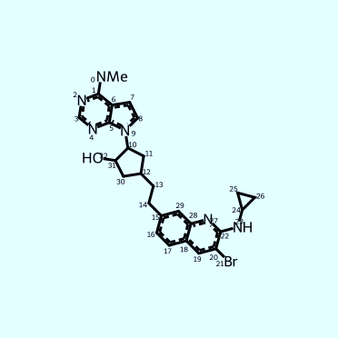 CNc1ncnc2c1ccn2C1CC(CCc2ccc3cc(Br)c(NC4CC4)nc3c2)CC1O